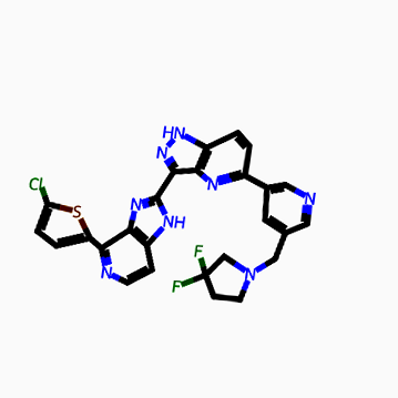 FC1(F)CCN(Cc2cncc(-c3ccc4[nH]nc(-c5nc6c(-c7ccc(Cl)s7)nccc6[nH]5)c4n3)c2)C1